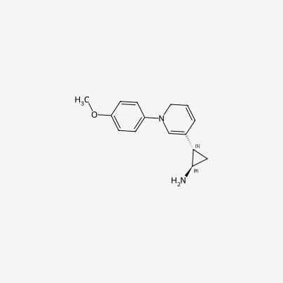 COc1ccc(N2C=C([C@@H]3C[C@H]3N)C=CC2)cc1